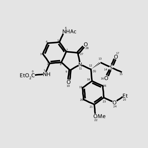 CCOC(=O)Nc1ccc(NC(C)=O)c2c1C(=O)N([C@H](CS(C)(=O)=O)c1ccc(OC)c(OCC)c1)C2=O